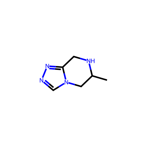 CC1Cn2cnnc2CN1